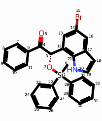 C[Si](O[C@H](C(=O)c1ccccc1)c1cc(Br)cc2cc[nH]c12)(c1ccccc1)c1ccccc1